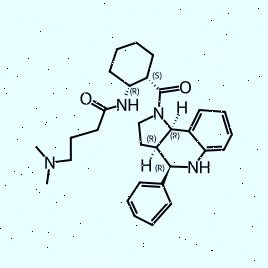 CN(C)CCCC(=O)N[C@@H]1CCCC[C@@H]1C(=O)N1CC[C@@H]2[C@H](c3ccccc3)Nc3ccccc3[C@@H]21